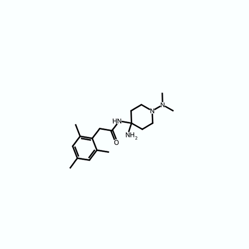 Cc1cc(C)c(CC(=O)NC2(N)CCN(N(C)C)CC2)c(C)c1